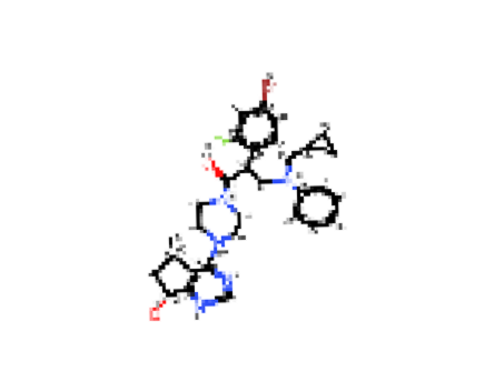 C[C@@H]1C[C@H](O)c2ncnc(N3CCN(C(=O)C(CN(CC4CC4)c4ccccc4)c4ccc(Br)cc4F)CC3)c21